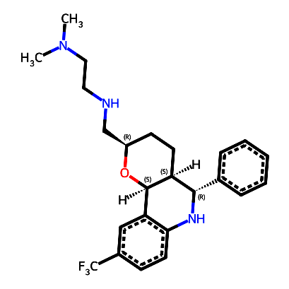 CN(C)CCNC[C@H]1CC[C@@H]2[C@H](O1)c1cc(C(F)(F)F)ccc1N[C@H]2c1ccccc1